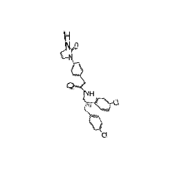 O=C(Cc1ccc(N2CCNC2=O)cc1)NC[C@H](Cc1ccc(Cl)cc1)c1ccc(Cl)cc1